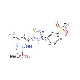 COC(=O)CN/C(=C\C(=N)C(F)(F)F)c1nc(-c2cccc(S(C)(=O)=O)c2)ns1